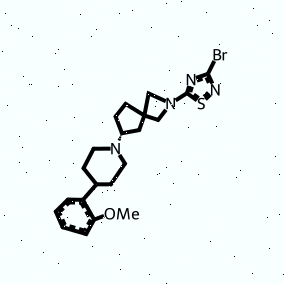 COc1ccccc1C1CCN([C@@H]2CCC3(C2)CN(c2nc(Br)ns2)C3)CC1